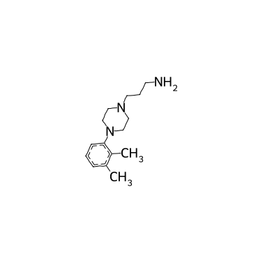 Cc1cccc(N2CCN(CCCN)CC2)c1C